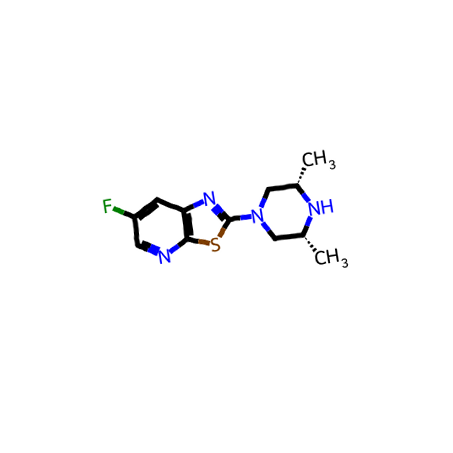 C[C@@H]1CN(c2nc3cc(F)cnc3s2)C[C@H](C)N1